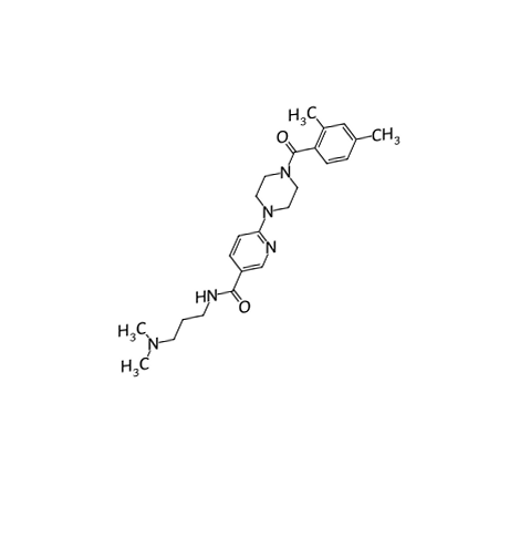 Cc1ccc(C(=O)N2CCN(c3ccc(C(=O)NCCCN(C)C)cn3)CC2)c(C)c1